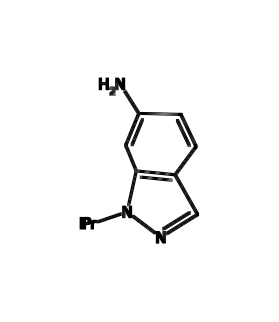 CC(C)n1ncc2ccc(N)cc21